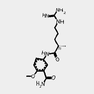 COc1ccc(NC(=O)[C@@H](C)CCCNC(=N)N)cc1C(N)=O